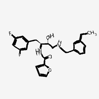 CCc1cccc(CNC[C@@H](O)[C@H](Cc2cc(F)cc(F)c2)NC(=O)c2ccco2)c1